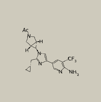 CC(=O)N1C[C@@H]2[C@H](C1)[C@H]2n1cc(-c2cnc(N)c(C(F)(F)F)c2)nc1CC1CC1